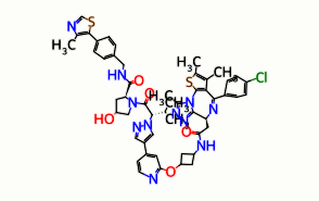 Cc1ncsc1-c1ccc(CNC(=O)[C@@H]2C[C@@H](O)CN2C(=O)[C@H](C(C)C)n2cc(-c3ccnc(OC4CC(NC(=O)C[C@@H]5N=C(c6ccc(Cl)cc6)c6c(sc(C)c6C)-n6c(C)nnc65)C4)c3)cn2)cc1